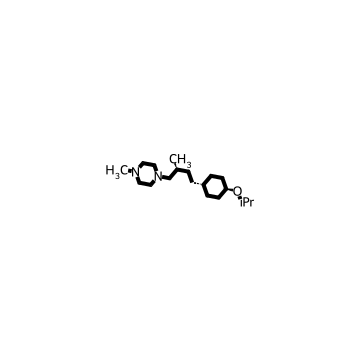 CC(C)O[C@H]1CC[C@H](CC[C@@H](C)CN2CCN(C)CC2)CC1